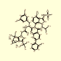 CS(=O)(=O)Nc1nn(CC(F)F)c2c(-n3c([C@H](Cc4cc(F)cc(F)c4)NC(=O)Cn4nc(C(F)(F)F)c5c4C(F)(F)[C@@H]4C[C@H]54)nc4nc(-c5ccccc5F)ccc4c3=O)ccc(Cl)c12